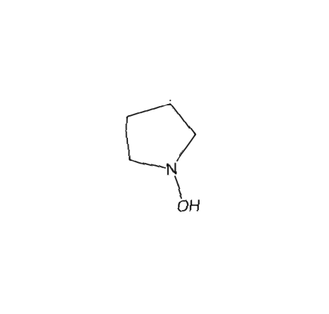 ON1C[CH]CC1